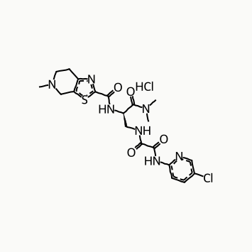 CN1CCc2nc(C(=O)N[C@H](CNC(=O)C(=O)Nc3ccc(Cl)cn3)C(=O)N(C)C)sc2C1.Cl